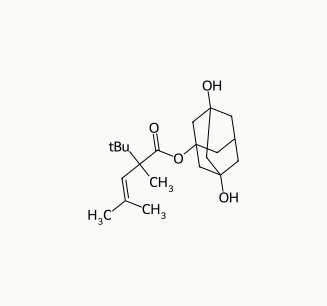 CC(C)=CC(C)(C(=O)OC12CC3CC(O)(CC(O)(C3)C1)C2)C(C)(C)C